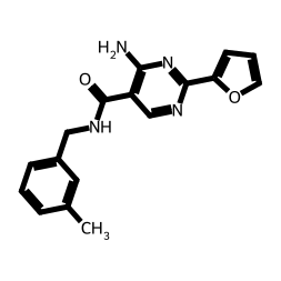 Cc1cccc(CNC(=O)c2cnc(-c3ccco3)nc2N)c1